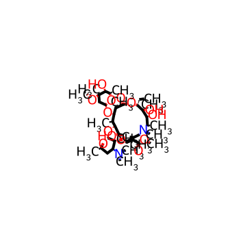 CC[C@H]1OC(=O)[C@H](C)[C@@H](O[C@H]2C[C@@](C)(OC)[C@@H](O)[C@H](C)O2)[C@H](C)[C@@H](O[C@@H]2O[C@H](C)C[C@H](N(C)C)[C@H]2O/C=C/C(=O)OC)[C@@](C)(O)C[C@@H](C)CN(C)[C@H](C)[C@@H](O)[C@]1(C)O